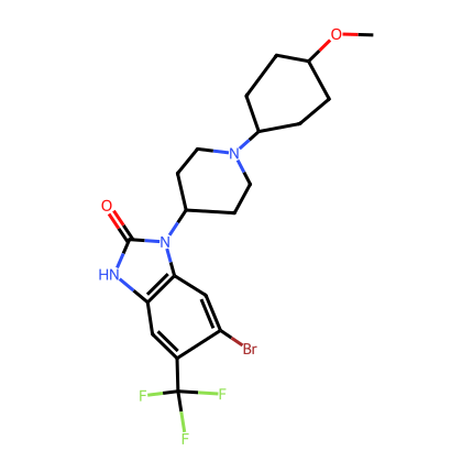 COC1CCC(N2CCC(n3c(=O)[nH]c4cc(C(F)(F)F)c(Br)cc43)CC2)CC1